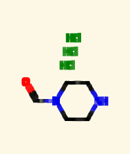 Cl.Cl.Cl.O=CN1CCNCC1